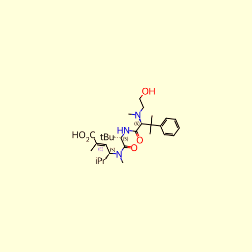 C/C(=C\[C@H](C(C)C)N(C)C(=O)[C@@H](NC(=O)[C@@H](N(C)CCO)C(C)(C)c1ccccc1)C(C)(C)C)C(=O)O